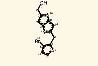 OCc1cc2sc(Cc3sccc3Br)cc2s1